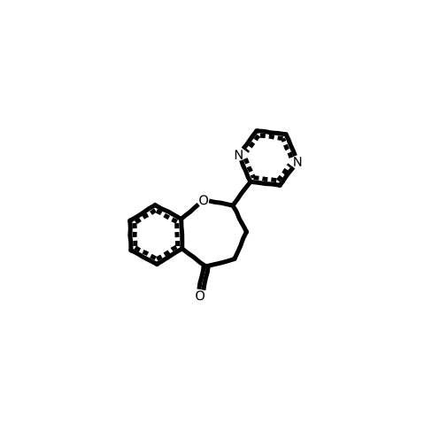 O=C1CCC(c2cnccn2)Oc2ccccc21